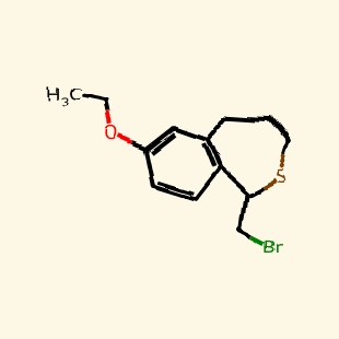 CCOc1ccc2c(c1)CCCSC2CBr